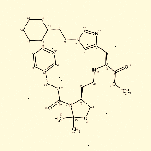 COC(=O)[C@H](Cc1cn(CCC2CCCCC2)cn1)NCC[C@H]1COC(C)(C)N1C(=O)OCc1ccccc1